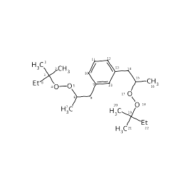 CCC(C)(C)OOC(C)Cc1cccc(CC(C)OOC(C)(C)CC)c1